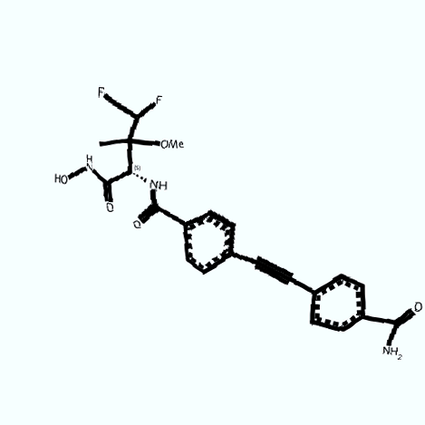 COC(C)(C(F)F)[C@H](NC(=O)c1ccc(C#Cc2ccc(C(N)=O)cc2)cc1)C(=O)NO